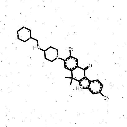 CCc1cc2c(cc1N1CCC(NCC3CCCCC3)CC1)C(C)(C)c1[nH]c3cc(C#N)ccc3c1C2=O